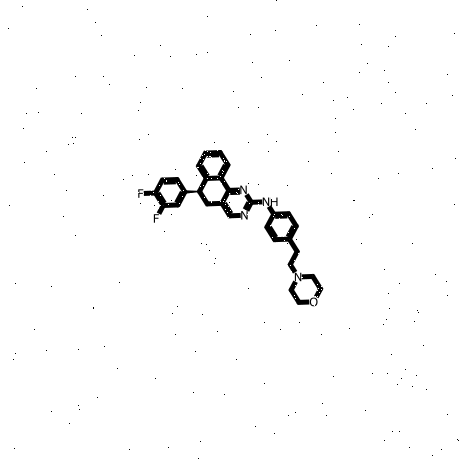 Fc1ccc([C@@H]2Cc3cnc(Nc4ccc(CCN5CCOCC5)cc4)nc3-c3ccccc32)cc1F